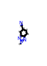 Cn1nc2ccc(C#N)cc2n1